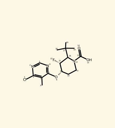 Cc1c(Cl)ncnc1O[C@H]1CCN(C(=O)O)C(C(C)(C)C)[C@H]1F